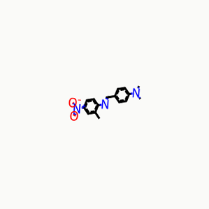 Cc1cc([N+](=O)[O-])ccc1N=Cc1ccc(N(C)C)cc1